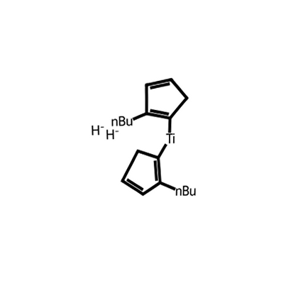 CCCCC1=[C]([Ti][C]2=C(CCCC)C=CC2)CC=C1.[H-].[H-]